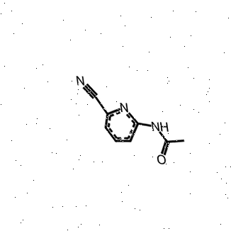 CC(=O)Nc1cccc(C#N)n1